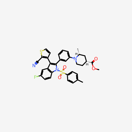 COC(=O)[C@@H]1CCN(c2cccc(-c3c(-c4ccsc4C#N)c4cc(F)ccc4n3S(=O)(=O)c3ccc(C)cc3)c2)[C@H](C)C1